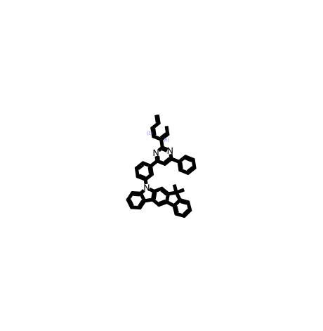 C=C/C=C\C(=C/C)c1nc(-c2ccccc2)cc(-c2cccc(-n3c4ccccc4c4cc5c(cc43)C(C)(C)c3ccccc3-5)c2)n1